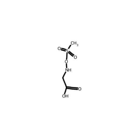 CS(=O)(=O)ONCC(=O)O